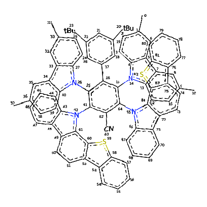 Cc1ccc2c(c1)c1cc(C)ccc1n2-c1c(-c2cc(C(C)(C)C)cc(C(C)(C)C)c2)c(-n2c3ccc(C)cc3c3cc(C)ccc32)c(-n2c3ccccc3c3ccc4c5ccccc5sc4c32)c(C#N)c1-n1c2ccccc2c2ccc3c4ccccc4sc3c21